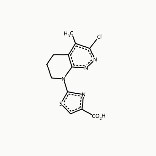 Cc1c(Cl)nnc2c1CCCN2c1nc(C(=O)O)cs1